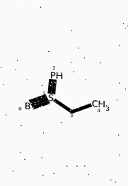 B#S(=P)CC